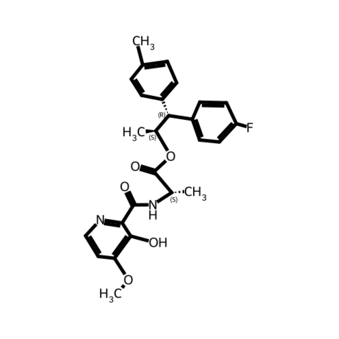 COc1ccnc(C(=O)N[C@@H](C)C(=O)O[C@@H](C)[C@H](c2ccc(C)cc2)c2ccc(F)cc2)c1O